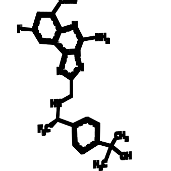 COc1cc(F)cc2c1nc(N)n1nc(CN[C@@H](c3ccc(C(C)(C)O)cc3)C(F)(F)F)nc21